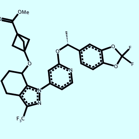 COC(=O)C12CC(OC3CCCc4c(C(F)(F)F)nn(-c5ccnc(O[C@H](C)c6ccc7c(c6)OC(F)(F)O7)c5)c43)(C1)C2